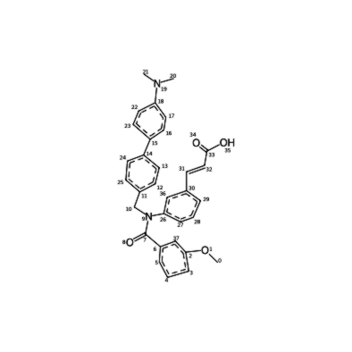 COc1cccc(C(=O)N(Cc2ccc(-c3ccc(N(C)C)cc3)cc2)c2cccc(C=CC(=O)O)c2)c1